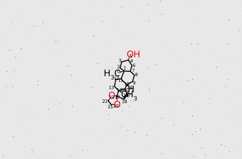 C[C@@]12CC[C@@H](O)CC1CC[C@H]1C2CC[C@]2(C)C1C=CC21OCCO1